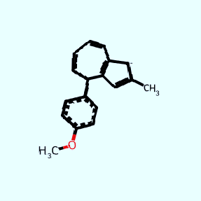 COc1ccc(C2C=CC=CC3=C2C=C(C)[CH]3)cc1